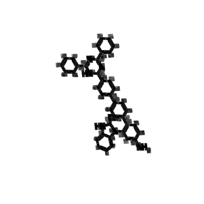 CCC1Nc2ccccc2N1c1cc(N)ccc1-c1ccc(-c2ccc(C3N=C(c4ccccc4)N=C(c4ccccc4)N3)cc2)cc1